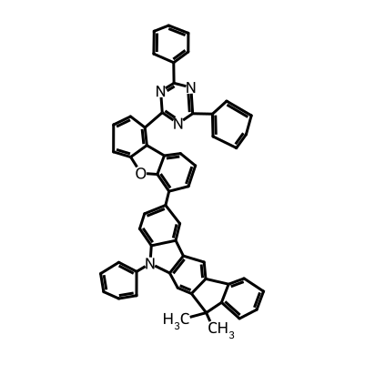 CC1(C)c2ccccc2-c2cc3c4cc(-c5cccc6c5oc5cccc(-c7nc(-c8ccccc8)nc(-c8ccccc8)n7)c56)ccc4n(-c4ccccc4)c3cc21